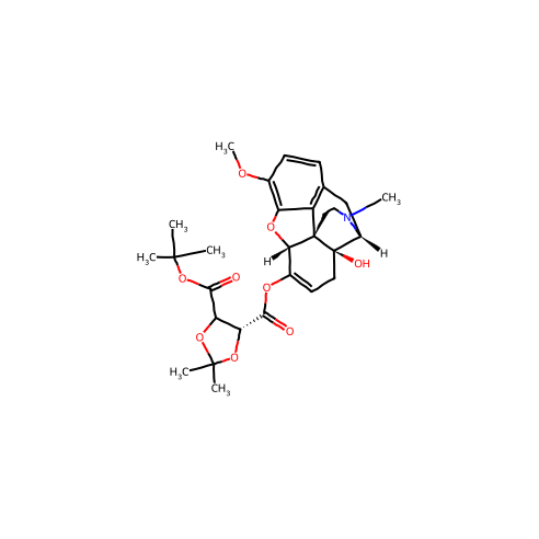 COc1ccc2c3c1O[C@H]1C(OC(=O)[C@@H]4OC(C)(C)OC4C(=O)OC(C)(C)C)=CC[C@@]4(O)[C@@H](C2)N(C)CC[C@]314